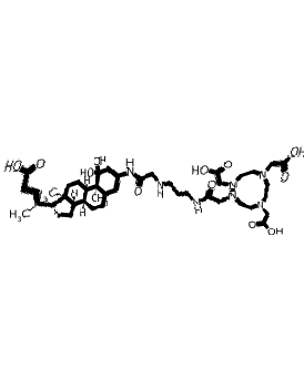 C[C@H](CCC(=O)O)[C@H]1CC[C@H]2[C@@H]3CCC4CC(NC(=O)CNCCCNC(=O)CN5CCN(CC(=O)O)CCN(CC(=O)O)CCN5CC(=O)O)CC(O)(O)[C@]4(C)[C@H]3CC[C@]12C